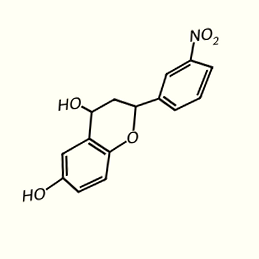 O=[N+]([O-])c1cccc(C2CC(O)c3cc(O)ccc3O2)c1